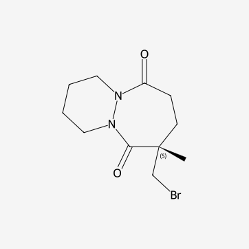 C[C@]1(CBr)CCC(=O)N2CCCCN2C1=O